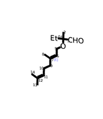 CCC(C)(C=O)OC/C=C(\C)CCC=C(C)C